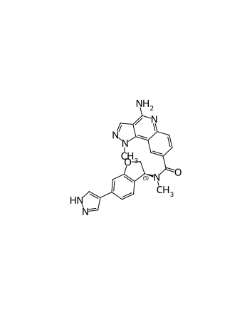 CN(C(=O)c1ccc2nc(N)c3cnn(C)c3c2c1)[C@@H]1COc2cc(-c3cn[nH]c3)ccc21